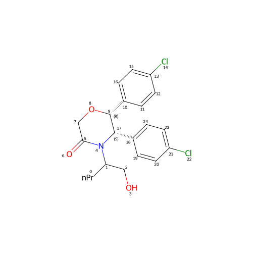 CCCC(CO)N1C(=O)CO[C@H](c2ccc(Cl)cc2)[C@@H]1c1ccc(Cl)cc1